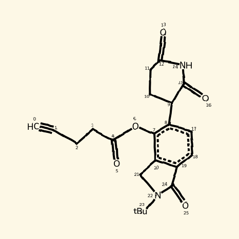 C#CCCC(=O)Oc1c(C2CCC(=O)NC2=O)ccc2c1CN(C(C)(C)C)C2=O